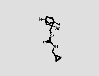 CC(=O)[C@@]1(COC(=O)NCC2CC2)C[C@@H]2C=C[C@H]1C2